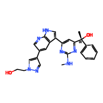 CNc1nc(-c2c[nH]c3ncc(-c4cnn(CCO)c4)cc23)cc([C@](C)(O)c2ccccc2)n1